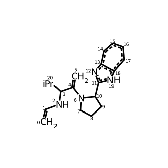 C=CNC(C(=C)N1CCCC1c1nc2ccccc2[nH]1)C(C)C